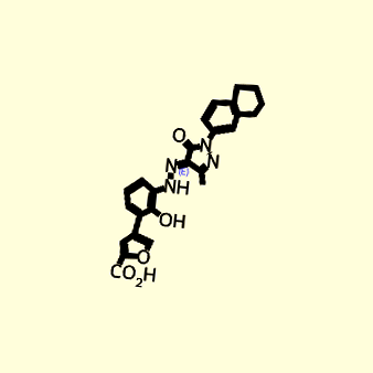 CC1=NN(c2ccc3c(c2)CCCC3)C(=O)/C1=N/Nc1cccc(-c2coc(C(=O)O)c2)c1O